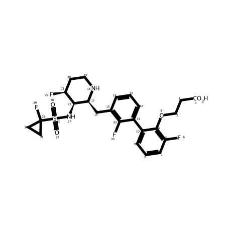 O=C(O)CCOc1c(F)cccc1-c1cccc(C[C@@H]2NCC[C@H](F)[C@@H]2NS(=O)(=O)C2(F)CC2)c1F